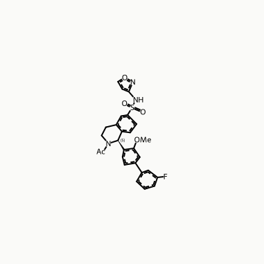 COc1cc(-c2cccc(F)c2)ccc1[C@@H]1c2ccc(S(=O)(=O)Nc3ccon3)cc2CCN1C(C)=O